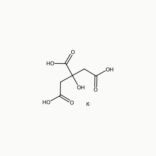 O=C(O)CC(O)(CC(=O)O)C(=O)O.[K]